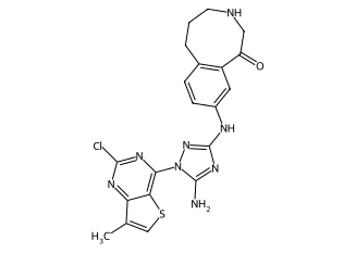 Cc1csc2c(-n3nc(Nc4ccc5c(c4)C(=O)CNCCC5)nc3N)nc(Cl)nc12